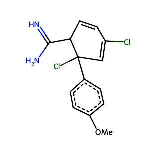 COc1ccc(C2(Cl)C=C(Cl)C=CC2C(=N)N)cc1